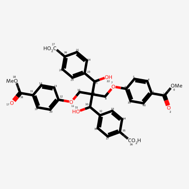 COC(=O)c1ccc(OCC(COc2ccc(C(=O)OC)cc2)(C(O)c2ccc(C(=O)O)cc2)C(O)c2ccc(C(=O)O)cc2)cc1